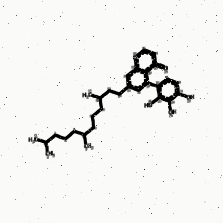 CC(C)CCCC(C)CCCC(C)CCc1cc(-c2ccc(O)c(O)c2O)c2c(=O)ccoc2c1